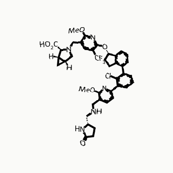 COc1nc(-c2cccc(-c3cccc4c3CC[C@@H]4Oc3nc(OC)c(CN4C[C@@H]5C[C@@H]5[C@H]4C(=O)O)cc3C(F)(F)F)c2Cl)ccc1CNC[C@@H]1CCC(=O)N1